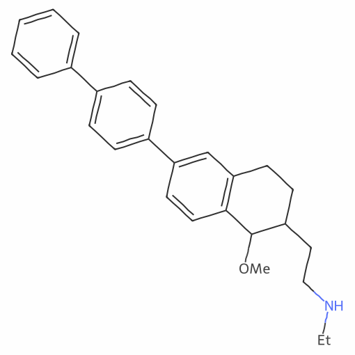 CCNCCC1CCc2cc(-c3ccc(-c4ccccc4)cc3)ccc2C1OC